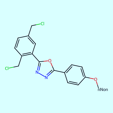 CCCCCCCCCOc1ccc(-c2nnc(-c3cc(CCl)ccc3CCl)o2)cc1